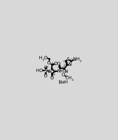 CCOC(=O)C1C(NC(=O)/C(=N\OC)c2csc(N)n2)C(=O)N1S(=O)(=O)O.[NaH]